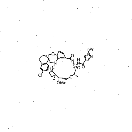 CCCn1cc(C(=O)N[S@@]2(=O)=NC(=O)c3ccc4c(c3)N(C[C@@H]3CC[C@H]3[C@@H](OC)/C=C/C[C@H](C)C2)C[C@@]2(CCCc3cc(Cl)ccc32)CO4)cn1